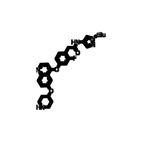 CC(C)(C)n1cc(NC(=O)Cc2ccc(Oc3ccnc4ccc(OC5CCNCC5)cc34)cc2F)cn1